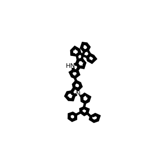 c1ccc(-c2cc(-c3ccccc3)cc(-c3cccc(-n4c5ccccc5c5cc(-c6ccc7[nH]c8c9c(ccc8c7c6)C6(c7ccccc7-c7ccccc76)c6ccccc6-9)ccc54)c3)c2)cc1